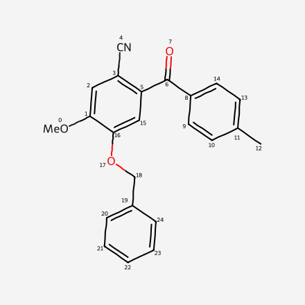 COc1cc(C#N)c(C(=O)c2ccc(C)cc2)cc1OCc1ccccc1